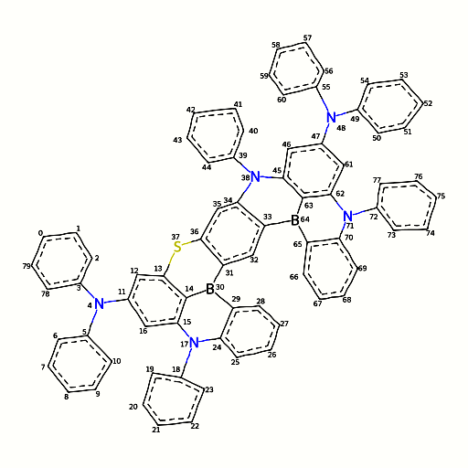 c1ccc(N(c2ccccc2)c2cc3c4c(c2)N(c2ccccc2)c2ccccc2B4c2cc4c(cc2S3)N(c2ccccc2)c2cc(N(c3ccccc3)c3ccccc3)cc3c2B4c2ccccc2N3c2ccccc2)cc1